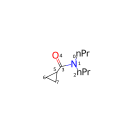 CCCN(CCC)C(=O)C1CC1